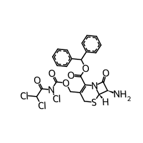 N[C@@H]1C(=O)N2C(C(=O)OC(c3ccccc3)c3ccccc3)=C(COC(=O)N(Cl)C(=O)C(Cl)Cl)CS[C@@H]12